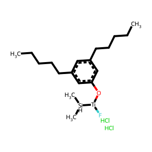 CCCCCc1cc(CCCCC)cc([O][Ti]([F])[SiH](C)C)c1.Cl.Cl